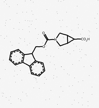 O=C(O)C1C2CN(C(=O)OCC3c4ccccc4-c4ccccc43)CC21